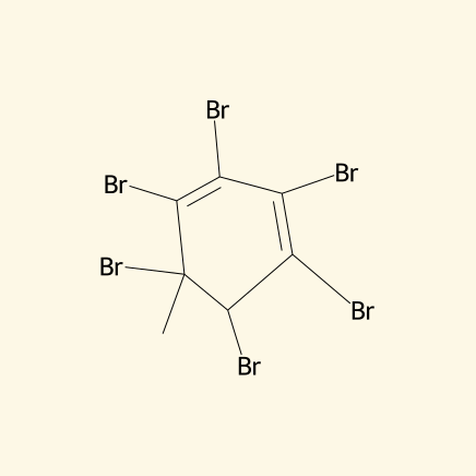 CC1(Br)C(Br)=C(Br)C(Br)=C(Br)C1Br